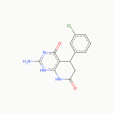 Nc1nc(=O)c2c([nH]1)NC(=O)CC2c1cccc(Cl)c1